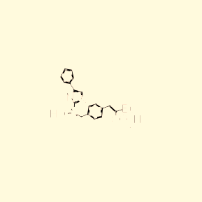 CCC(=Cc1ccc(CN(C)c2nc(-c3ccccc3)cs2)cc1)C(=O)O